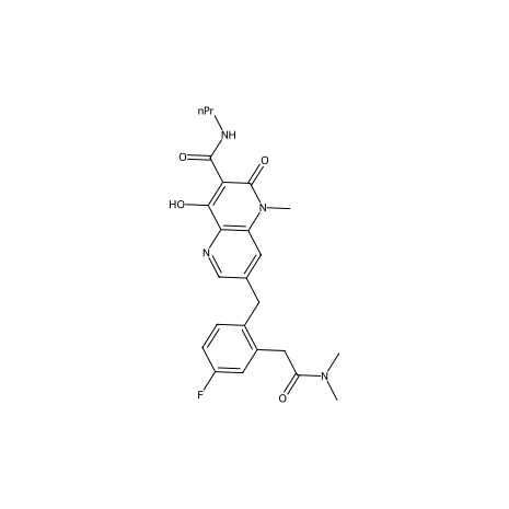 CCCNC(=O)c1c(O)c2ncc(Cc3ccc(F)cc3CC(=O)N(C)C)cc2n(C)c1=O